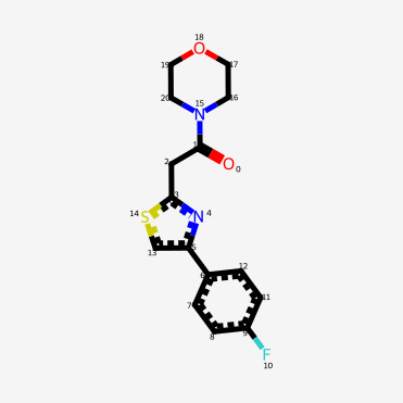 O=C(Cc1nc(-c2ccc(F)cc2)cs1)N1CCOCC1